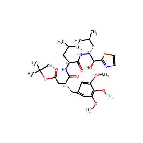 COc1cc(C[C@H](CC(=O)OC(C)(C)C)C(=O)N[C@@H](CC(C)C)C(=O)N[C@H](CC(C)C)[C@H](O)c2nccs2)cc(OC)c1OC